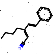 CCCCC(C=Cc1ccccc1)=CC#N